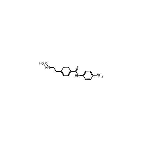 Nc1ccc(NC(=O)c2ccc(CCNC(=O)O)cc2)cc1